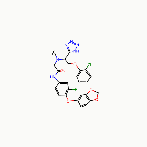 CN(CC(=O)Nc1ccc(Oc2ccc3c(c2)OCO3)c(F)c1)C(COc1ccccc1Cl)c1nnn[nH]1